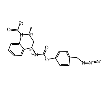 CCC(=O)N1c2ccccc2[C@H](NC(=O)Oc2ccc(CN=[N+]=[N-])cc2)C[C@@H]1C